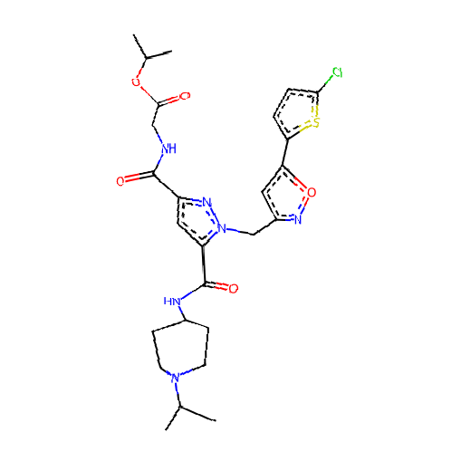 CC(C)OC(=O)CNC(=O)c1cc(C(=O)NC2CCN(C(C)C)CC2)n(Cc2cc(-c3ccc(Cl)s3)on2)n1